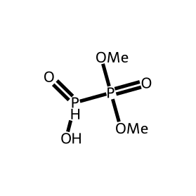 COP(=O)(OC)[PH](=O)O